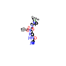 COCCCn1c(C2CCCN(C(=O)C[C@@H](Cc3ccc(NC(=O)c4cnn(C)c4)cc3)NC(=O)OC(C)(C)C)C2)c(C)c2cccc(F)c21